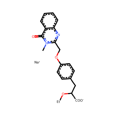 CCOC(Cc1ccc(OCc2nc3ccccc3c(=O)n2C)cc1)C(=O)[O-].[Na+]